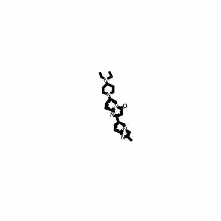 CCN(CC)C1CCN(c2ccc3nc(-c4ccc5nc(C)cn5c4)cc(=O)n3c2)CC1